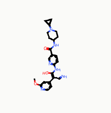 COc1cc(/C(C=N)=C(\O)Nc2ccc(C(=O)NC3CCN(C4CC4)CC3)cn2)ccn1